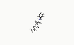 CN(C)C(=O)OCCNC(=O)C(=O)/C=C/c1ccccc1